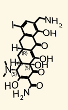 CN(C)[C@@H]1C(O)=C(C(N)=O)C(=O)[C@@]2(O)C(O)=C3C(=O)c4c(O)c(CN)cc(I)c4C[C@H]3C[C@@H]12